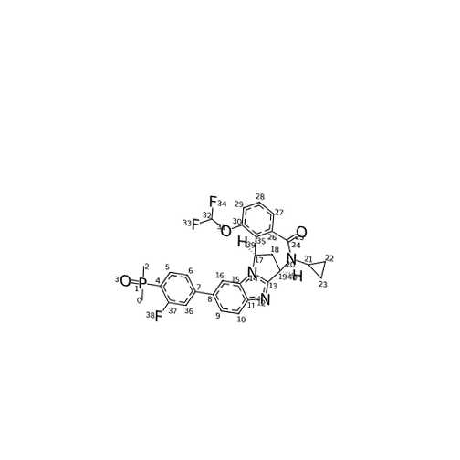 CP(C)(=O)c1ccc(-c2ccc3nc4n(c3c2)[C@@H]2C[C@H]4N(C3CC3)C(=O)c3cccc(OC(F)F)c32)cc1F